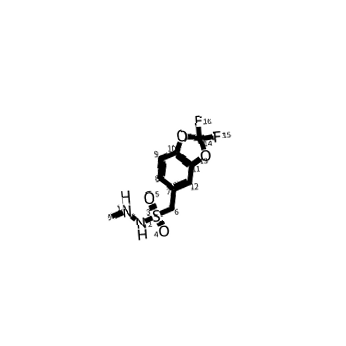 CNNS(=O)(=O)Cc1ccc2c(c1)OC(F)(F)O2